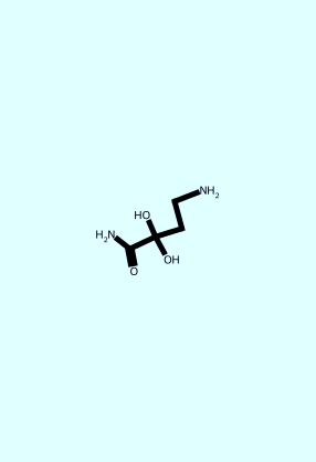 NCCC(O)(O)C(N)=O